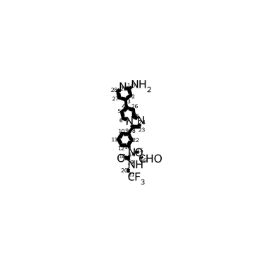 Nc1cc(-c2ccn3c(-c4cccc(N(OC=O)C(=O)NCC(F)(F)F)c4)cnc3c2)ccn1